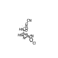 C[C@@H](NC(=O)c1c[nH]c2ncc(-n3cnc4cc(Cl)ccc43)nc12)C(=O)N1CC(C#N)C1